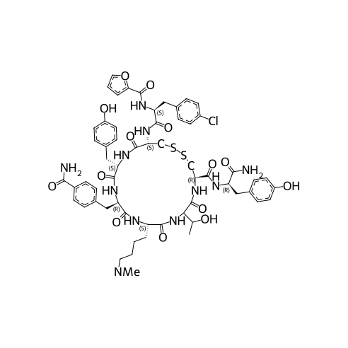 CNCCCC[C@@H]1NC(=O)[C@@H](Cc2ccc(C(N)=O)cc2)NC(=O)[C@H](Cc2ccc(O)cc2)NC(=O)[C@H](NC(=O)[C@H](Cc2ccc(Cl)cc2)NC(=O)c2ccco2)CSSC[C@@H](C(=O)N[C@H](Cc2ccc(O)cc2)C(N)=O)NC(=O)C(C(C)O)NC1=O